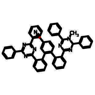 CN1C(c2ccccc2)=NC(c2ccccc2-c2ccc(C#N)cc2-c2ccccc2-c2nc(-c3ccccc3)nc(-c3ccccc3)n2)=NC1c1ccccc1